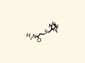 Cn1nnnc1CSCCC(N)=O